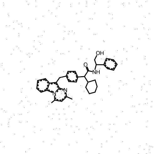 Cc1cc(C)n2c(n1)c(Cc1ccc(C(C(=O)NC(CO)c3ccccc3)C3CCCCC3)cc1)c1ccccc12